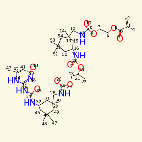 C=C(C)C(=O)OCCOC(=O)NCC1(C)CC(NC(=O)OC(C)COC(=O)NCC2(C)CC(NC(=O)Nc3nc(=O)cc(C)[nH]3)CC(C)(C)C2)CC(C)(C)C1